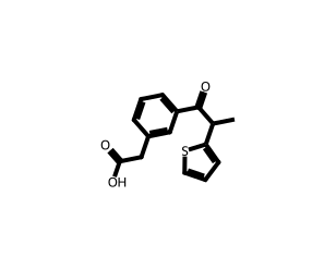 CC(C(=O)c1cccc(CC(=O)O)c1)c1cccs1